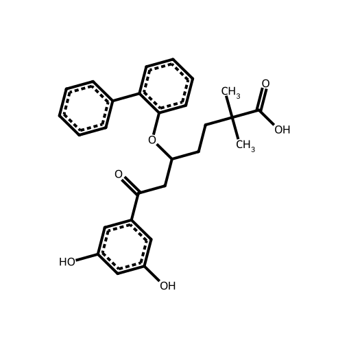 CC(C)(CCC(CC(=O)c1cc(O)cc(O)c1)Oc1ccccc1-c1ccccc1)C(=O)O